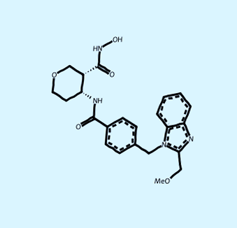 COCc1nc2ccccc2n1Cc1ccc(C(=O)N[C@@H]2CCOC[C@@H]2C(=O)NO)cc1